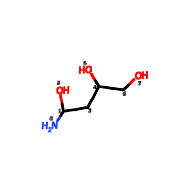 NC(O)CC(O)CO